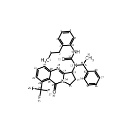 CCCc1ccccc1NC(=O)N(C1CCn2c1nc1cccc(C(F)(F)F)c1c2=O)[C@@H](C)c1ccccc1